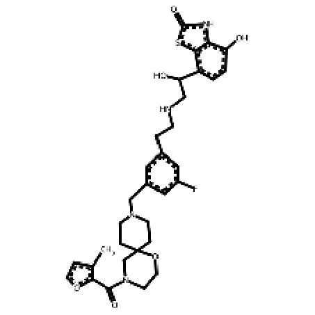 Cc1ccoc1C(=O)N1CCOC2(CCN(Cc3cc(F)cc(CCNCC(O)c4ccc(O)c5[nH]c(=O)sc45)c3)CC2)C1